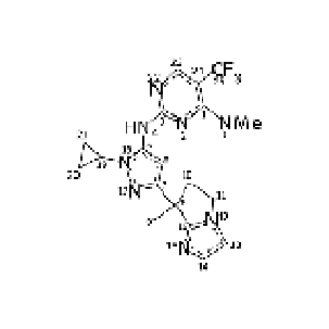 CNc1nc(Nc2cc(C3(C)CCn4ccnc43)nn2C2CC2)ncc1C(F)(F)F